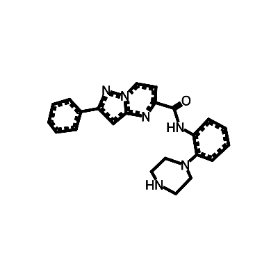 O=C(Nc1ccccc1N1CCNCC1)c1ccn2nc(-c3ccccc3)cc2n1